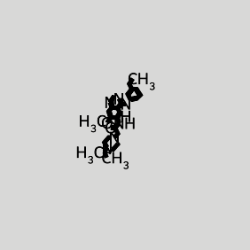 CCc1cccc(Nc2ncnc3cc(OC)c(NC(=O)CN4CCN(C(C)C)CC4)cc23)c1